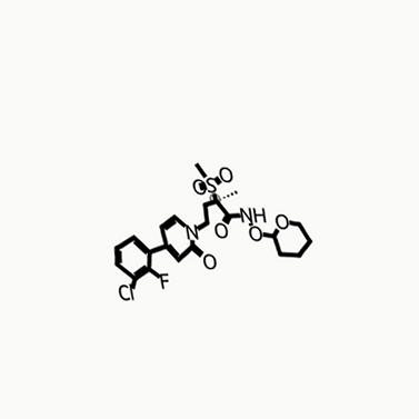 C[C@@](CCn1ccc(-c2cccc(Cl)c2F)cc1=O)(C(=O)NOC1CCCCO1)S(C)(=O)=O